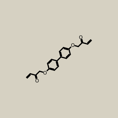 C=CC(=O)COc1ccc(-c2ccc(OCC(=O)C=C)cc2)cc1